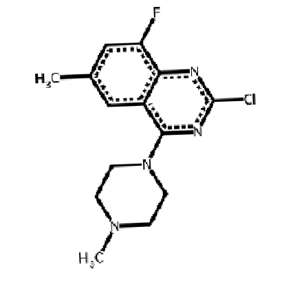 Cc1cc(F)c2nc(Cl)nc(N3CCN(C)CC3)c2c1